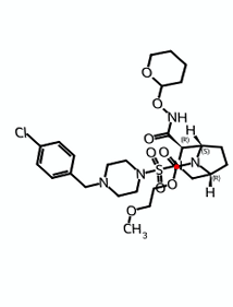 COCCOC(=O)N1[C@@H]2CC[C@H]1[C@H](C(=O)NOC1CCCCO1)N(S(=O)(=O)N1CCN(Cc3ccc(Cl)cc3)CC1)C2